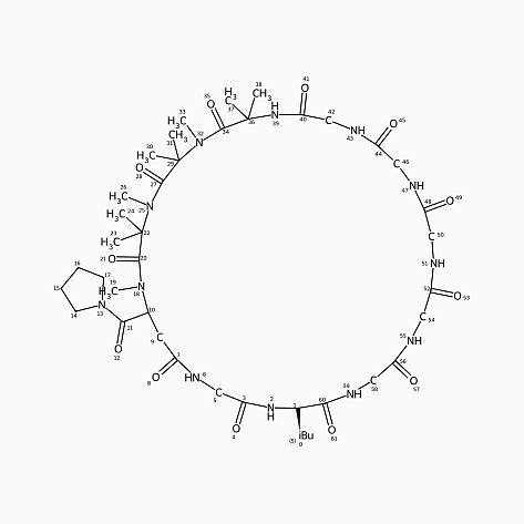 CC[C@H](C)C1NC(=O)CNC(=O)CC(C(=O)N2CCCC2)N(C)C(=O)C(C)(C)N(C)C(=O)C(C)(C)N(C)C(=O)C(C)(C)NC(=O)CNC(=O)CNC(=O)CNC(=O)CNC(=O)CNC1=O